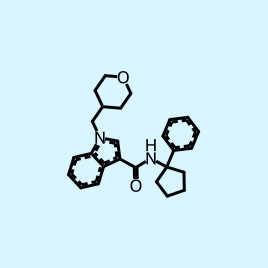 O=C(NC1(c2ccccc2)CCCC1)c1cn(CC2CCOCC2)c2ccccc12